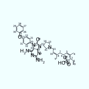 C=CC(C(C)=CCC/C(C)=C\CN1CC[C@@H](n2c(=O)n(-c3ccc(Oc4ccccc4)cc3)c3c(N)nc(N)nc32)C1)S(=O)(=O)O